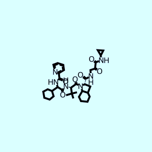 CC(C)(C)[C@H](NC(=O)C(NC(=O)c1ccccn1)C1CCCCC1)C(=O)N1C2CCCCC2C[C@H]1C(=O)NCC(=O)C(=O)NC1CC1